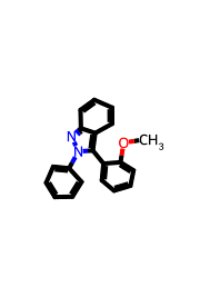 COc1ccccc1-c1c2ccccc2nn1-c1ccccc1